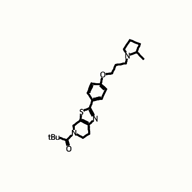 CC1CCCN1CCCOc1ccc(-c2nc3c(s2)CN(C(=O)C(C)(C)C)CC3)cc1